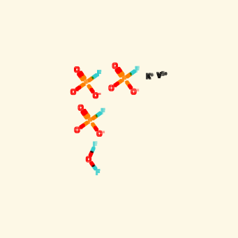 FOF.O=P([O-])([O-])F.O=P([O-])([O-])F.O=P([O-])([O-])F.[K+].[V+5]